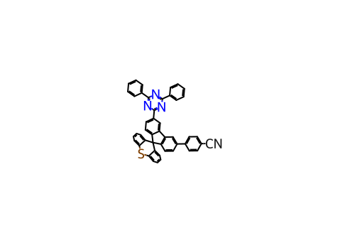 N#Cc1ccc(-c2ccc3c(c2)-c2cc(-c4nc(-c5ccccc5)nc(-c5ccccc5)n4)ccc2C32c3ccccc3Sc3ccccc32)cc1